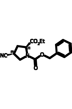 CCOC(=O)[C@@H]1C[C@@H](C#N)CN1C(=O)OCc1ccccc1